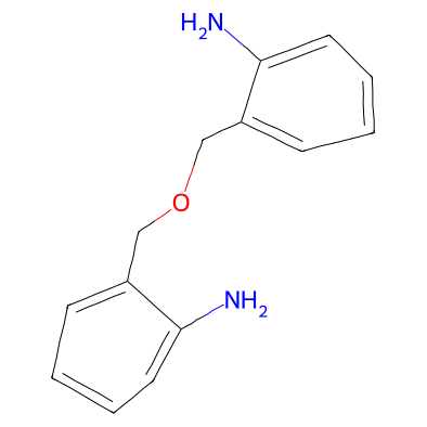 Nc1ccccc1COCc1ccccc1N